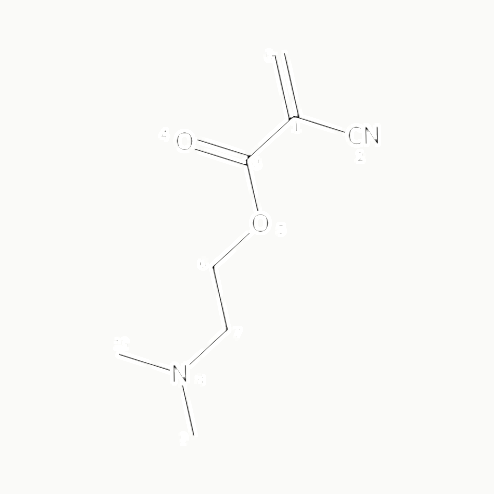 C=C(C#N)C(=O)OCCN(C)C